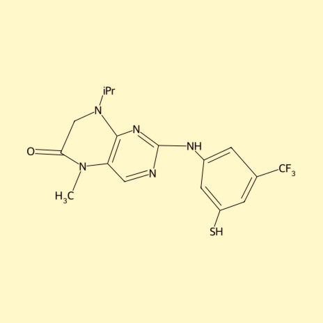 CC(C)N1CC(=O)N(C)c2cnc(Nc3cc(S)cc(C(F)(F)F)c3)nc21